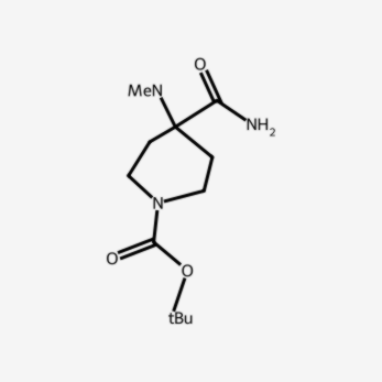 CNC1(C(N)=O)CCN(C(=O)OC(C)(C)C)CC1